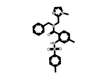 Cc1ccc(S(=O)(=O)Nc2cc(C)ccc2C(=O)N(Cc2ccccc2)Cc2nccn2C)cc1